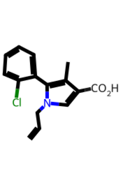 C=CCn1cc(C(=O)O)c(C)c1-c1ccccc1Cl